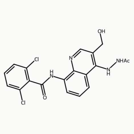 CC(=O)NNc1c(CO)cnc2c(NC(=O)c3c(Cl)cccc3Cl)cccc12